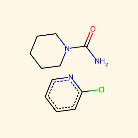 Clc1ccccn1.NC(=O)N1CCCCC1